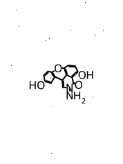 Nn1cc2c3c(ccc(O)c3c1=O)Oc1ccc(O)cc1-2